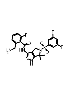 CC1(C)c2[nH]nc(NC(=O)c3c(F)cccc3CN)c2CN1S(=O)(=O)c1cc(F)cc(F)c1